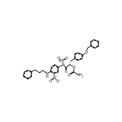 NC(=O)O[C@@H](Cc1ccc(OCc2ccccc2)cc1)C(=O)N(c1ccc(NCCCc2ccccc2)c([N+](=O)[O-])c1)[SH](=O)=O